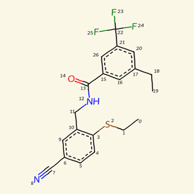 CCSc1ccc(C#N)cc1CNC(=O)c1cc(CC)cc(C(F)(F)F)c1